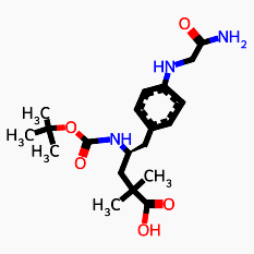 CC(C)(C)OC(=O)N[C@@H](Cc1ccc(NCC(N)=O)cc1)CC(C)(C)C(=O)O